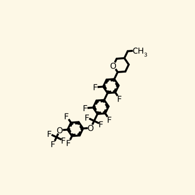 CCC1CCC(c2cc(F)c(-c3cc(F)c(C(F)(F)Oc4cc(F)c(OC(F)(F)F)c(F)c4)c(F)c3)c(F)c2)OC1